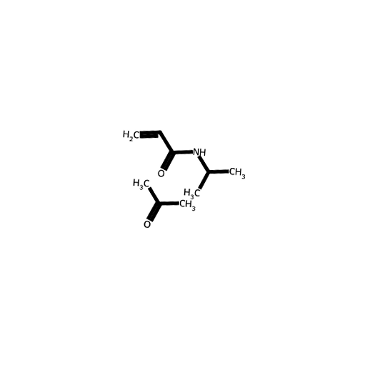 C=CC(=O)NC(C)C.CC(C)=O